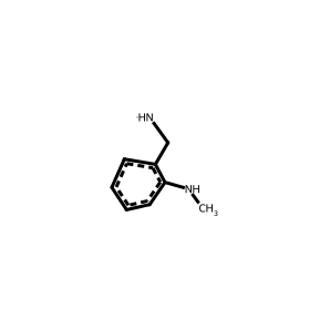 CNc1ccccc1C[NH]